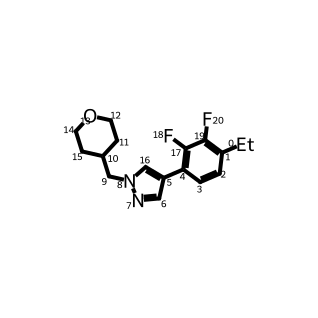 CCc1ccc(-c2cnn(CC3CCOCC3)c2)c(F)c1F